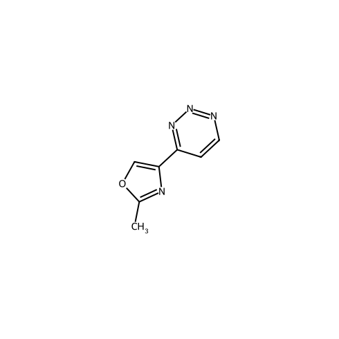 Cc1nc(-c2ccnnn2)co1